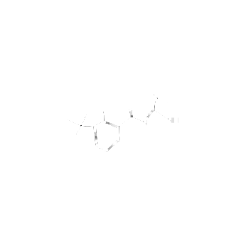 NC(N)=NC(=O)c1cccc(C(F)(F)F)c1F